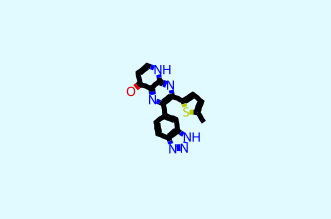 Cc1ccc(-c2nc3[nH]ccc(=O)c3nc2-c2ccc3nn[nH]c3c2)s1